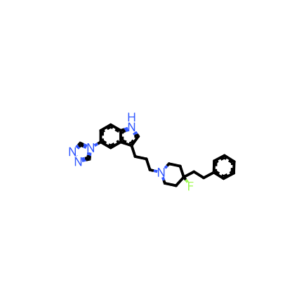 FC1(CCc2ccccc2)CCN(CCCc2c[nH]c3ccc(-n4cnnc4)cc23)CC1